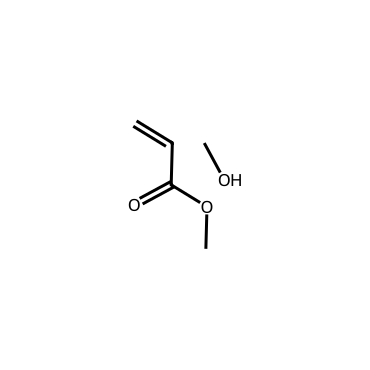 C=CC(=O)OC.CO